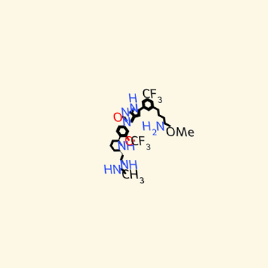 COC[C@H](N)CCCc1cc(-c2cc3cn(-c4ccc([C@@H]5CCC[C@@H](CCNC(C)=N)N5)c(OC(F)(F)F)c4)c(=O)nc3[nH]2)cc(C(F)(F)F)c1